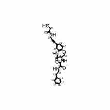 CN1C(=O)[C@@H](NC(=O)C(=O)NCCc2ccccc2)COc2ccc(C#CCNC(=O)CO)cc21